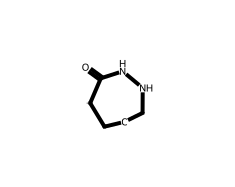 O=C1[CH]CCCNN1